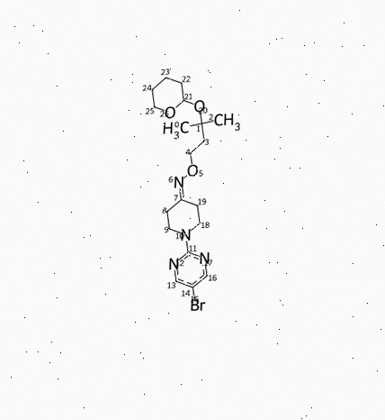 CC(C)(CCON=C1CCN(c2ncc(Br)cn2)CC1)OC1CCCCO1